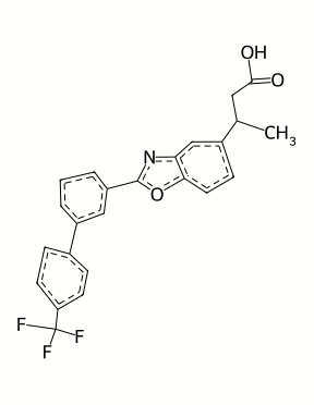 CC(CC(=O)O)c1ccc2oc(-c3cccc(-c4ccc(C(F)(F)F)cc4)c3)nc2c1